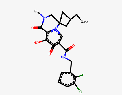 CCN1CC2(CC(COC)C2)n2cc(C(=O)NCc3cccc(Cl)c3F)c(=O)c(O)c2C1=O